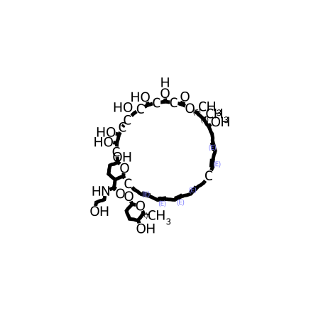 C[C@@H]1OC(=O)CC(O)CC(O)CC(O)CCC(O)C(O)CC2(O)CCC(C(=O)NCCO)C(CC(OC3CCC(O)[C@@H](C)O3)/C=C/C=C/C=C/C=C/CC/C=C/C=C/CC(O)[C@H]1C)O2